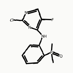 CP(C)(=O)c1ccccc1Nc1nc(Cl)ncc1F